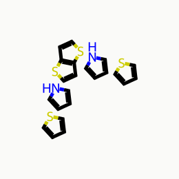 c1cc2sccc2s1.c1cc[nH]c1.c1cc[nH]c1.c1ccsc1.c1ccsc1